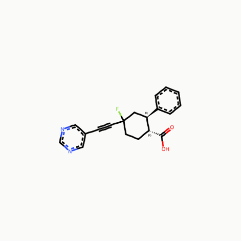 O=C(O)[C@@H]1CCC(F)(C#Cc2cncnc2)C[C@H]1c1ccccc1